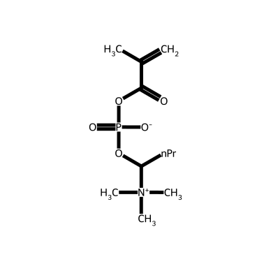 C=C(C)C(=O)OP(=O)([O-])OC(CCC)[N+](C)(C)C